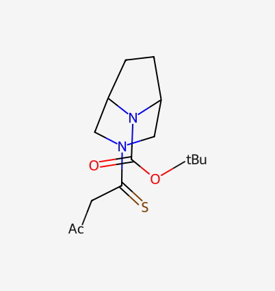 CC(=O)CC(=S)N1CC2CCC(C1)N2C(=O)OC(C)(C)C